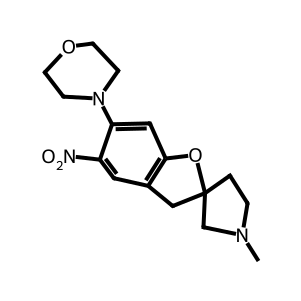 CN1CCC2(Cc3cc([N+](=O)[O-])c(N4CCOCC4)cc3O2)C1